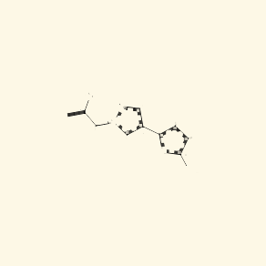 C=C(N)Cn1cc(-c2ccc(C(C)(C)C)s2)cn1